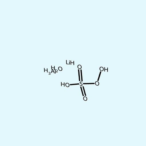 O.O=S(=O)(O)OO.[AlH3].[LiH]